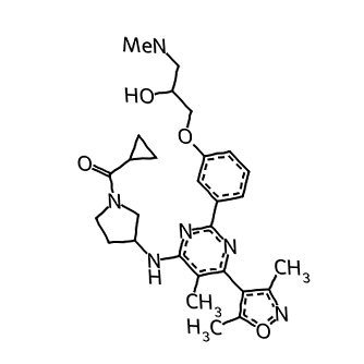 CNCC(O)COc1cccc(-c2nc(NC3CCN(C(=O)C4CC4)C3)c(C)c(-c3c(C)noc3C)n2)c1